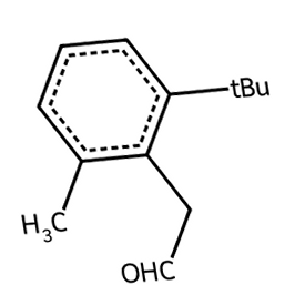 Cc1cccc(C(C)(C)C)c1CC=O